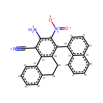 N#Cc1c(N)c([N+](=O)[O-])c(-c2cccc3ccccc23)c2c1-c1ccccc1CC2